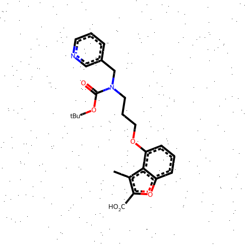 Cc1c(C(=O)O)oc2cccc(OCCCN(Cc3cccnc3)C(=O)OC(C)(C)C)c12